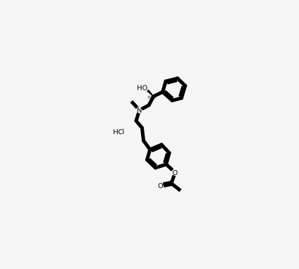 CC(=O)Oc1ccc(CCCN(C)C[C@@H](O)c2ccccc2)cc1.Cl